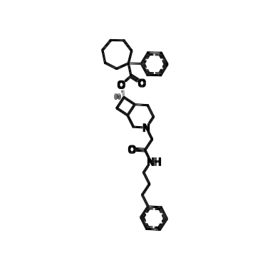 O=C(CN1CCC2C(C[C@@H]2OC(=O)C2(c3ccccc3)CCCCCC2)C1)NCCCc1ccccc1